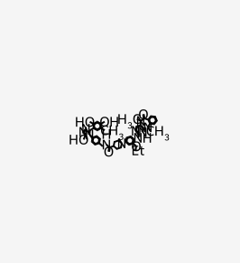 CCOc1cc(N2CCC(C(=O)NCc3ccc(-n4c(O)nnc4-c4cc(C)c(O)cc4O)cc3)CC2)ccc1Nc1ncc2c(n1)N(C)c1ccccc1C(=O)N2C